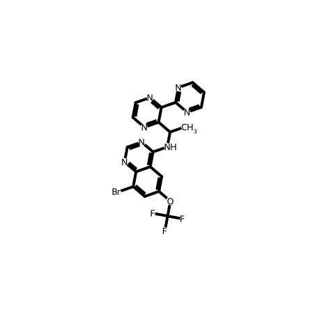 CC(Nc1ncnc2c(Br)cc(OC(F)(F)F)cc12)c1nccnc1-c1ncccn1